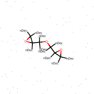 CCCCCCCCCCC(CCCCCCCCCC)(OC(CCCCCCCCCC)(CCCCCCCCCC)C1(CCCCCCCCCC)OC1(CCCCCCCCCC)CCCCCCCCCC)C1(CCCCCCCCCC)OC1(CCCCCCCCCC)CCCCCCCCCC